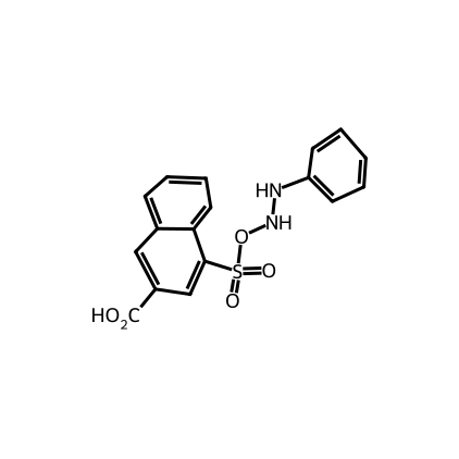 O=C(O)c1cc(S(=O)(=O)ONNc2ccccc2)c2ccccc2c1